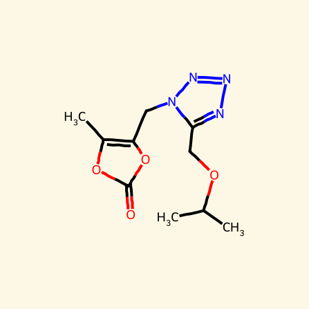 Cc1oc(=O)oc1Cn1nnnc1COC(C)C